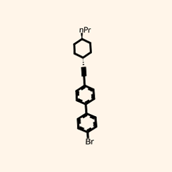 CCC[C@H]1CC[C@H](C#Cc2ccc(-c3ccc(Br)cc3)cc2)CC1